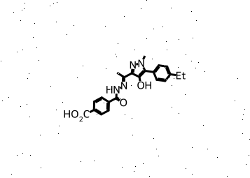 CCc1ccc(-c2c(O)c(C(C)=NNC(=O)c3ccc(C(=O)O)cc3)nn2C)cc1